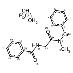 C[N]([Ge][c]1ccccc1)C(=O)CNC(=O)c1ccccc1.O.O.O